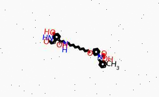 Cc1cccc(CN(C(=O)O)c2cccc(OCCCCCCCCCNC[C@H](O)c3ccc(O)c4[nH]c(=O)ccc34)c2)c1